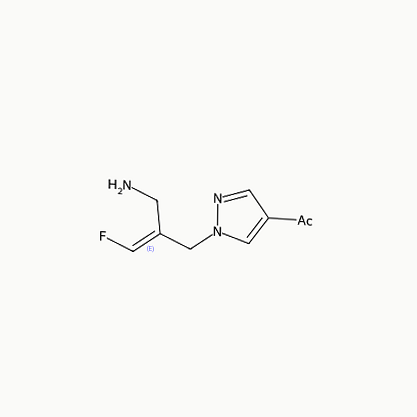 CC(=O)c1cnn(C/C(=C/F)CN)c1